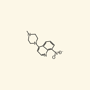 CN1CCN(c2ccnc3c([N+](=O)[O-])cccc23)CC1